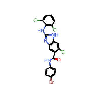 O=C(Nc1ccc(Br)cc1)c1cc2nc(Nc3c(Cl)cccc3Cl)[nH]c2cc1Cl